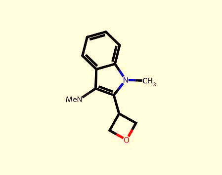 CNc1c(C2COC2)n(C)c2ccccc12